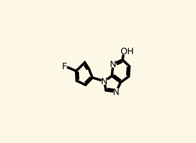 Oc1ccc2ncn(-c3ccc(F)cc3)c2n1